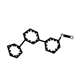 O=Pc1cccc(-c2cccc(-c3ccccc3)c2)c1